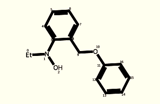 CCN(O)c1ccccc1COc1ccccc1